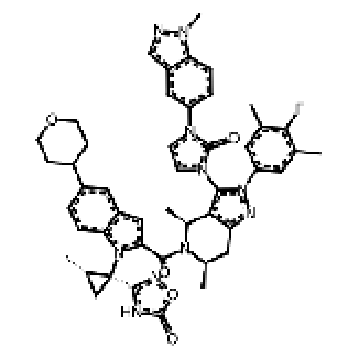 Cc1cc(-n2nc3c(c2-n2ccn(-c4ccc5c(cnn5C)c4)c2=O)[C@H](C)N(C(=O)c2cc4cc(C5CCOCC5)ccc4n2[C@@]2(c4noc(=O)[nH]4)C[C@@H]2C)[C@H](C)C3)cc(C)c1F